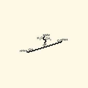 C=C(/C=C\CCCCCC)CCCCCCCCCC(CCCCCCCCCC(=O)/C=C\CCCCCC)O/N=C/CC(C)CC(C)CNC